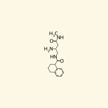 CNC(=O)CC(N)CNC(=O)C1CCCc2ccccc21